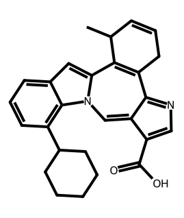 CC1C=CCc2c3ncc(C(=O)O)c-3cn3c(cc4cccc(C5CCCCC5)c43)c21